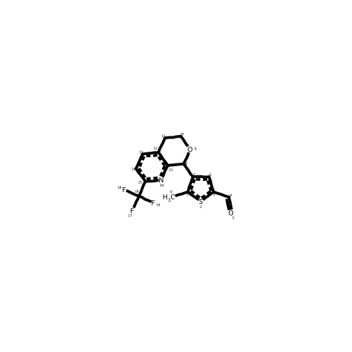 Cc1sc(C=O)cc1C1OCCc2ccc(C(F)(F)F)nc21